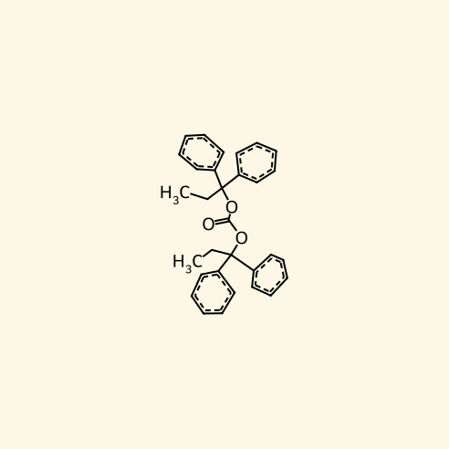 CCC(OC(=O)OC(CC)(c1ccccc1)c1ccccc1)(c1ccccc1)c1ccccc1